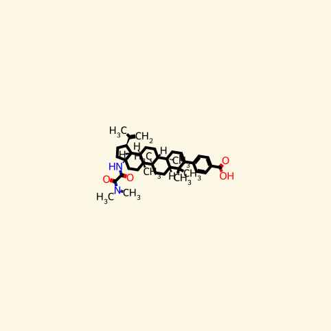 C=C(C)[C@@H]1CC[C@]2(NC(=O)C(=O)N(C)C)CC[C@]3(C)[C@H](CC[C@@H]4[C@@]5(C)CC=C(c6ccc(C(=O)O)cc6)C(C)(C)[C@@H]5CC[C@]43C)[C@@H]12